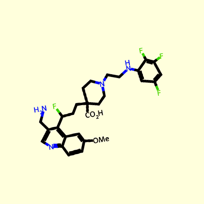 COc1ccc2ncc(CN)c(C(F)CCC3(C(=O)O)CCN(CCNc4cc(F)cc(F)c4F)CC3)c2c1